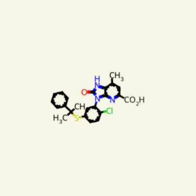 Cc1cc(C(=O)O)nc2c1[nH]c(=O)n2-c1cc(SC(C)(C)c2ccccc2)ccc1Cl